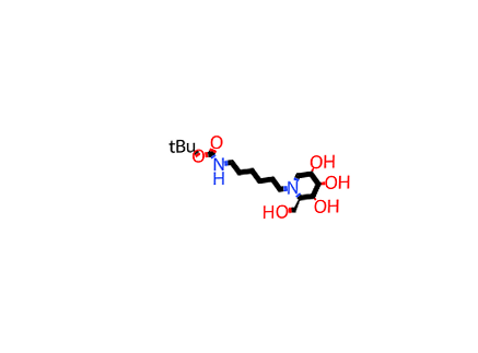 CC(C)(C)OC(=O)NCCCCCCN1C[C@H](O)[C@@H](O)[C@H](O)[C@H]1CO